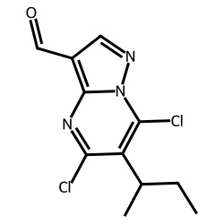 CCC(C)c1c(Cl)nc2c(C=O)cnn2c1Cl